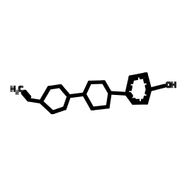 C=CC1CCC(C2CCC(c3ccc(O)cc3)CC2)CC1